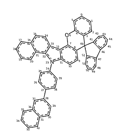 c1ccc2c(c1)Oc1c(ccc3c1c1ccc4ccccc4c1n3-c1ccc(-c3ccc4ccccc4c3)cc1)C21c2ccccc2-c2ccccc21